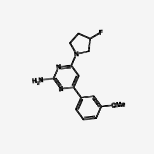 COc1cccc(-c2cc(N3CCC(F)C3)nc(N)n2)c1